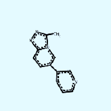 Cc1nnc2ccc(-c3cccnc3)cn12